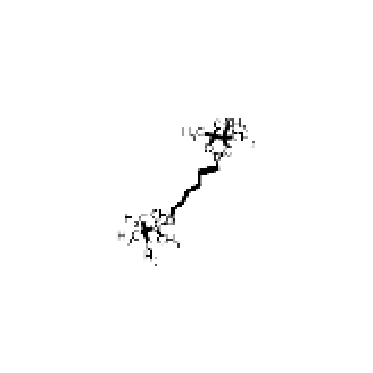 CC1(C)OB(C=CCCCCO[Si](C)(C)C(C)(C)C)OC1(C)C